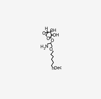 CCCCCCCCCCCCCCCCOCC(CN)O[C@@H]1OC2O[C@@H]2C(O)[C@@H]1O